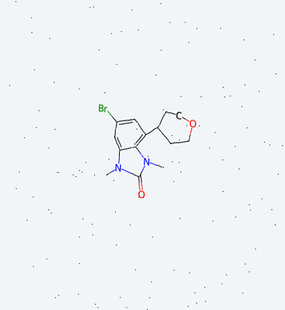 Cn1c(=O)n(C)c2c(C3CCOCC3)cc(Br)cc21